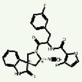 C#[N+][C@@H]1C[C@@]2(CN1C(=O)C(Cc1cccc(F)c1)NC(=O)c1[nH]ccc1F)C(=O)Nc1ccccc12